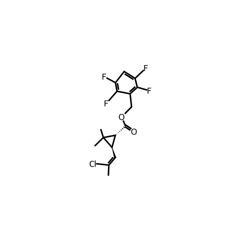 C/C(Cl)=C/[C@@H]1[C@@H](C(=O)OCc2c(F)c(F)cc(F)c2F)C1(C)C